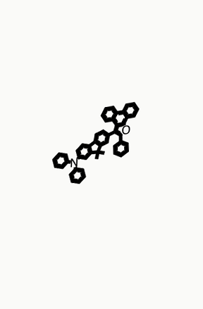 CC1(C)c2cc(-c3c(-c4ccccc4)oc4c5ccccc5c5ccccc5c34)ccc2-c2ccc(N(c3ccccc3)c3ccccc3)cc21